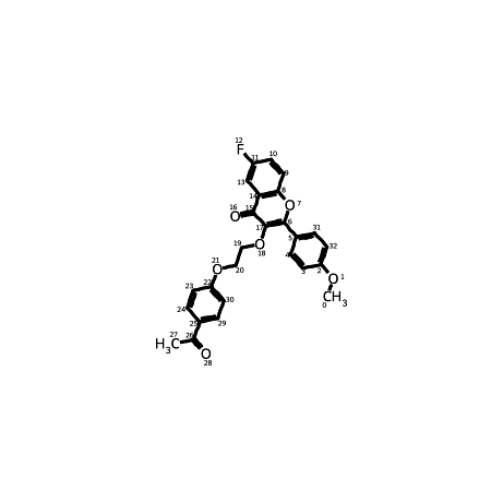 COc1ccc(-c2oc3ccc(F)cc3c(=O)c2OCCOc2ccc(C(C)=O)cc2)cc1